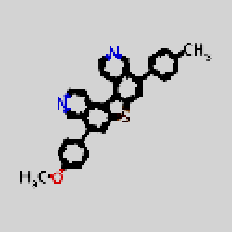 COc1ccc(-c2cc3sc4cc(-c5ccc(C)cc5)c5cnccc5c4c3c3ccncc23)cc1